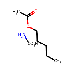 CCCCCOC(C)=O.NC(=O)O